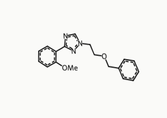 COc1ccccc1-c1ncn(CCOCc2ccccc2)n1